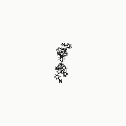 N#Cc1cccc(-c2ccc3c(c2)N(c2ccccc2)c2ccccc2C32c3ccccc3-c3cc(-c4ccc(N5c6ccccc6C6(c7ccccc7-c7cc(-c8ccccc8C#N)ccc76)c6ccccc65)cc4)ccc32)c1